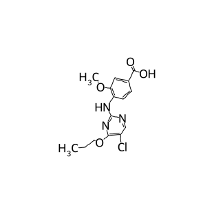 CCCOc1nc(Nc2ccc(C(=O)O)cc2OC)ncc1Cl